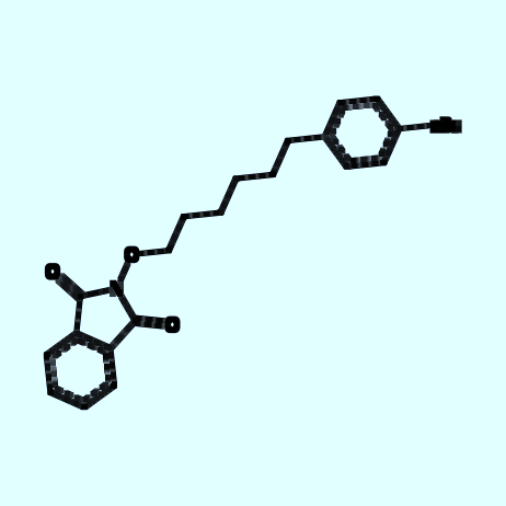 CCCCc1ccc(CCCCCCON2C(=O)c3ccccc3C2=O)cc1